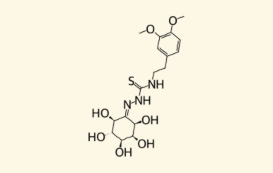 COc1ccc(CCNC(=S)N/N=C2\[C@@H](O)[C@@H](O)[C@@H](O)[C@H](O)[C@H]2O)cc1OC